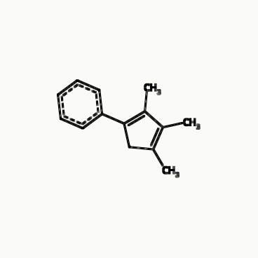 CC1=C(C)C(C)=C(c2ccccc2)C1